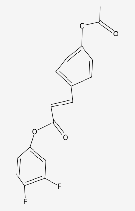 CC(=O)Oc1ccc(/C=C/C(=O)Oc2ccc(F)c(F)c2)cc1